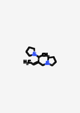 C/C=C(/CN1CCCC1)C(C)N1CCCC1